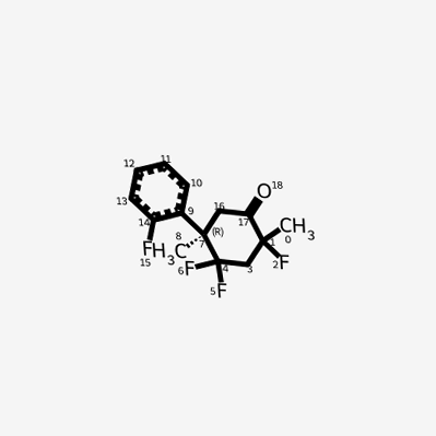 CC1(F)CC(F)(F)[C@@](C)(c2ccccc2F)CC1=O